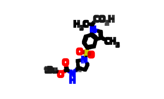 Cc1cn(C(C)C(=O)O)c2ccc(S(=O)(=O)N3CC[C@@H](NC(=O)OC(C)(C)C)C3)cc12